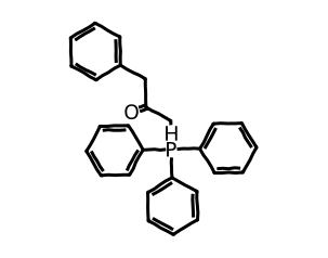 O=C(Cc1ccccc1)C[PH](c1ccccc1)(c1ccccc1)c1ccccc1